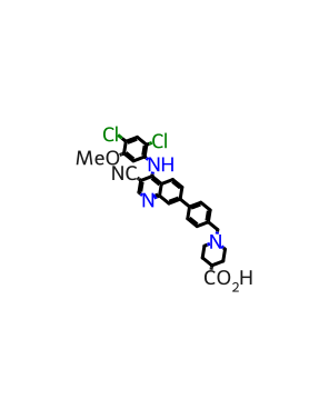 COc1cc(Nc2c(C#N)cnc3cc(-c4ccc(CN5CCC(C(=O)O)CC5)cc4)ccc23)c(Cl)cc1Cl